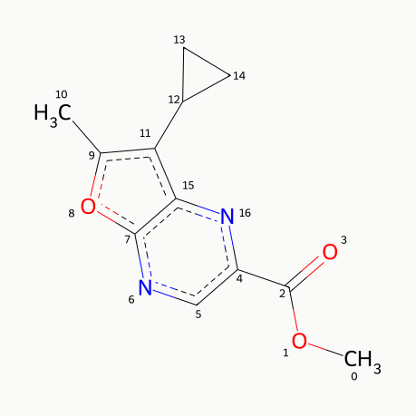 COC(=O)c1cnc2oc(C)c(C3CC3)c2n1